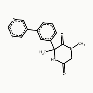 CN1CC(=O)NC(C)(c2cccc(-c3cncnc3)c2)C1=O